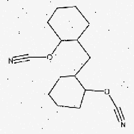 N#COC1CCCCC1CC1CCCCC1OC#N